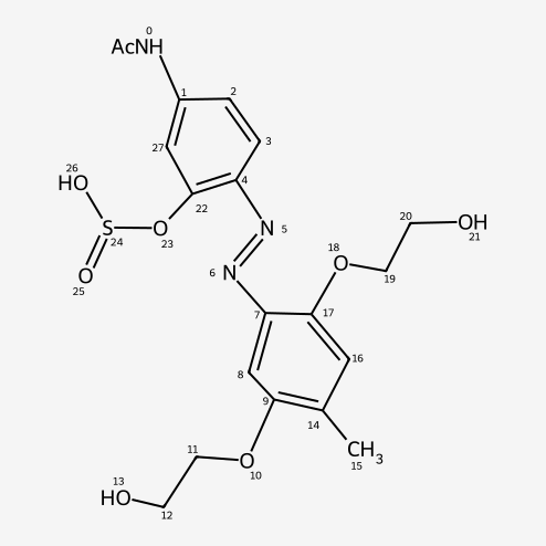 CC(=O)Nc1ccc(N=Nc2cc(OCCO)c(C)cc2OCCO)c(OS(=O)O)c1